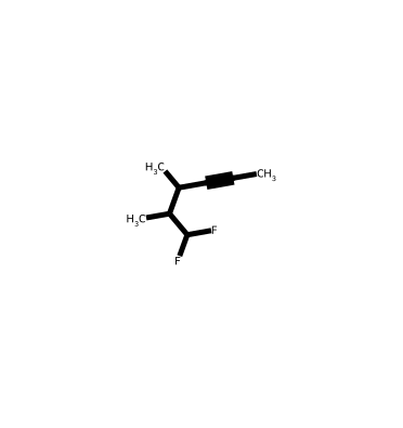 CC#CC(C)C(C)C(F)F